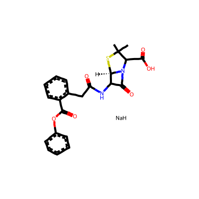 CC1(C)S[C@@H]2C(NC(=O)Cc3ccccc3C(=O)Oc3ccccc3)C(=O)N2C1C(=O)O.[NaH]